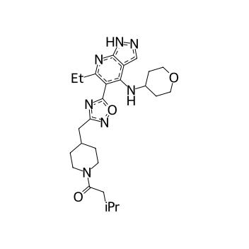 CCc1nc2[nH]ncc2c(NC2CCOCC2)c1-c1nc(CC2CCN(C(=O)CC(C)C)CC2)no1